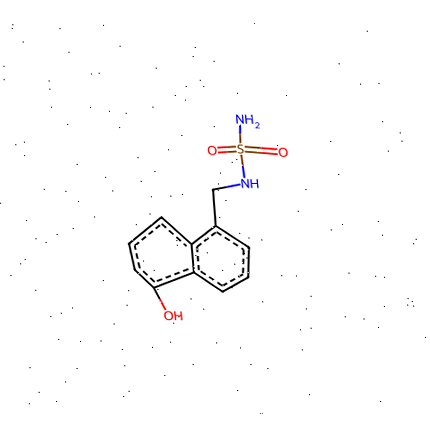 NS(=O)(=O)NCc1cccc2c(O)cccc12